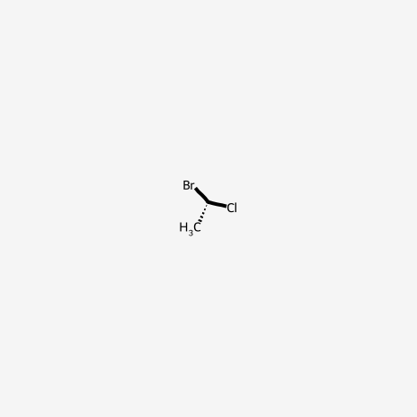 C[C@@H](Cl)Br